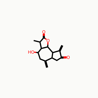 C=C1CC(O)C2C(C)C(=O)OC2C2C(=C)C(=O)CC12